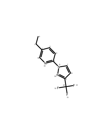 CCc1ccc(-n2ccc(C(F)(F)F)n2)nc1